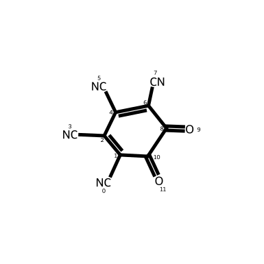 N#CC1=C(C#N)C(C#N)=C(C#N)C(=O)C1=O